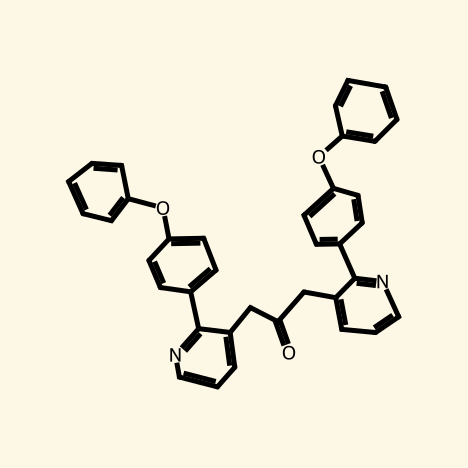 O=C(Cc1cccnc1-c1ccc(Oc2ccccc2)cc1)Cc1cccnc1-c1ccc(Oc2ccccc2)cc1